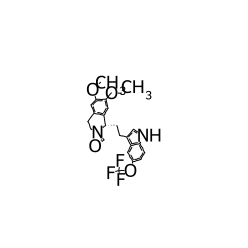 CCOc1cc2c(cc1OC)CCN(C=O)[C@H]2CCc1c[nH]c2ccc(OC(F)(F)F)cc12